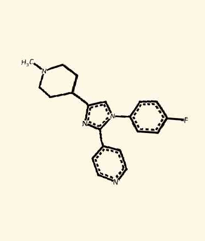 CN1CCC(c2cn(-c3ccc(F)cc3)c(-c3ccncc3)n2)CC1